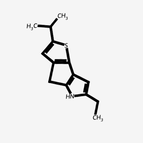 CCc1cc2c([nH]1)Cc1cc(C(C)C)sc1-2